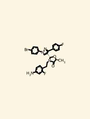 C[C@@H]1O[C@@H](c2cn(-c3ccc(Br)cc3)nc2-c2ccc(F)cc2)N(CCc2ccc(N)cc2F)C1=O